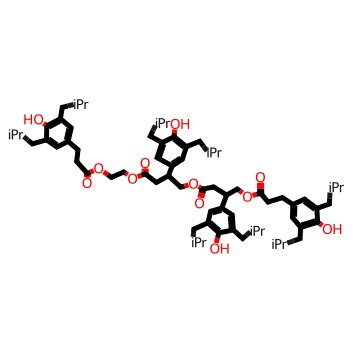 CC(C)Cc1cc(CCC(=O)OCCOC(=O)CC(COC(=O)CC(COC(=O)CCc2cc(CC(C)C)c(O)c(CC(C)C)c2)c2cc(CC(C)C)c(O)c(CC(C)C)c2)c2cc(CC(C)C)c(O)c(CC(C)C)c2)cc(CC(C)C)c1O